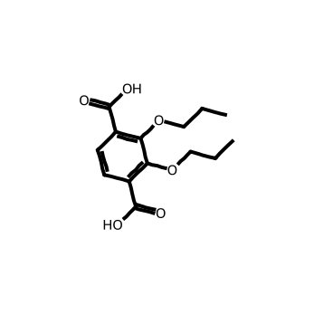 CCCOc1c(C(=O)O)ccc(C(=O)O)c1OCCC